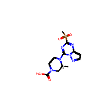 C[C@H]1CN(C(=O)O)CCN1c1nc(S(C)(=O)=O)nc2ccnn12